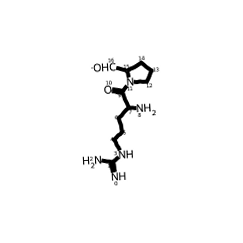 N=C(N)NCCCC(N)C(=O)N1CCCC1[C]=O